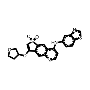 O=S1(=O)C=C(OC2CCOC2)c2cc3nccc(Nc4ccc5scnc5c4)c3cc21